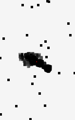 CC(C)=CCN(CC(C)NC(=O)OC(C)(C)C)c1ccc(OCc2ccccc2)cc1